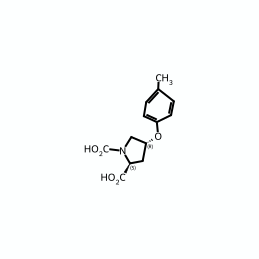 Cc1ccc(O[C@@H]2C[C@@H](C(=O)O)N(C(=O)O)C2)cc1